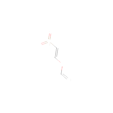 C=COC=C[SH](=O)=O